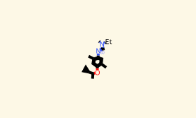 CCN(C)/C=N/c1cc(C)c(OC(C)C2CC2)cc1C